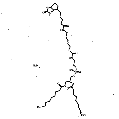 CCCCCCCCCCCCCCCCCC(=O)OCC(COP(=O)(O)OCCNC(=O)OCCOCCNC(=O)CCCCC1SCC2NC(=O)NC21)OC(=O)CCCCCCCCCCCCCCCCC.[NaH]